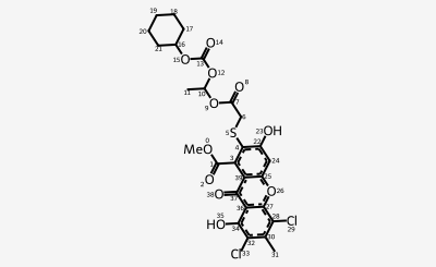 COC(=O)c1c(SCC(=O)OC(C)OC(=O)OC2CCCCC2)c(O)cc2oc3c(Cl)c(C)c(Cl)c(O)c3c(=O)c12